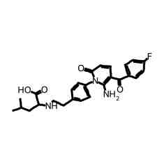 CC(C)CC(NCCc1ccc(-n2c(N)c(C(=O)c3ccc(F)cc3)ccc2=O)cc1)C(=O)O